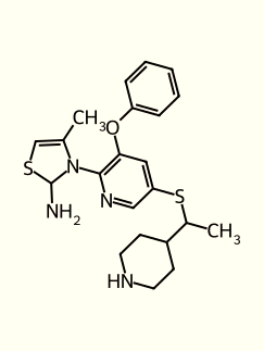 CC1=CSC(N)N1c1ncc(SC(C)C2CCNCC2)cc1Oc1ccccc1